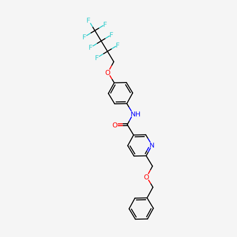 O=C(Nc1ccc(OCC(F)(F)C(F)(F)C(F)(F)F)cc1)c1ccc(COCc2ccccc2)nc1